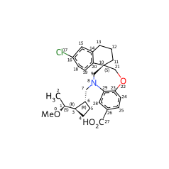 CO[C@@H](C)[C@@H]1CC[C@H]1CN1C[C@@]2(CCCc3cc(Cl)ccc32)COc2ccc(C(=O)O)cc21